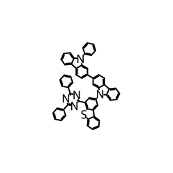 c1ccc(-c2nc(-c3ccccc3)nc(-c3cc(-n4c5ccccc5c5ccc(-c6ccc7c8ccccc8n(-c8ccccc8)c7c6)cc54)cc4c3sc3ccccc34)n2)cc1